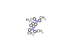 Cc1cccc(N(c2cccc(C)c2)c2cc3ccc(N(c4cccc(C)c4)c4cccc(C)c4)c4ccc5cccc2c5c34)c1